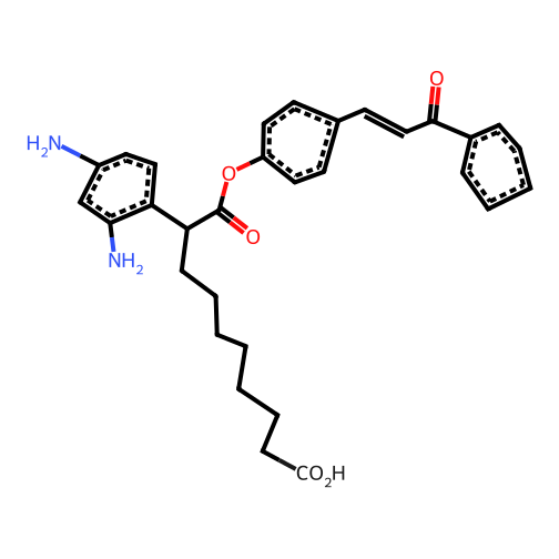 Nc1ccc(C(CCCCCCCC(=O)O)C(=O)Oc2ccc(C=CC(=O)c3ccccc3)cc2)c(N)c1